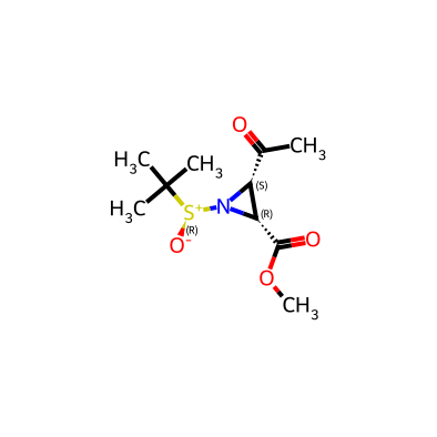 COC(=O)[C@H]1[C@@H](C(C)=O)N1[S@@+]([O-])C(C)(C)C